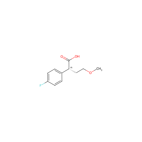 COCC[C@@H](C(=O)O)c1ccc(F)cc1